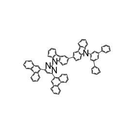 c1ccc(-c2cc(-c3ccccc3)cc(-n3c4ccccc4c4cc(-c5ccc6c(c5)c5ccccc5n6-c5nc(-c6cc7ccccc7c7ccccc67)cc(-c6cc7ccccc7c7ccccc67)n5)ccc43)c2)cc1